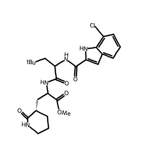 COC(=O)C(C[C@@H]1CCCNC1=O)NC(=O)C(CC(C)(C)C)NC(=O)c1cc2cccc(Cl)c2[nH]1